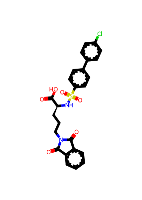 O=C(O)[C@H](CCCN1C(=O)c2ccccc2C1=O)NS(=O)(=O)c1ccc(-c2ccc(Cl)cc2)cc1